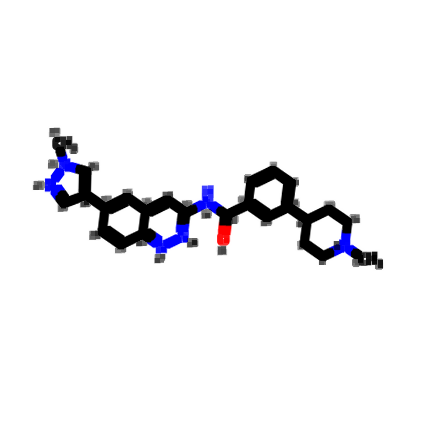 CN1CCC(c2cccc(C(=O)Nc3cc4cc(-c5cnn(C)c5)ccc4nn3)c2)CC1